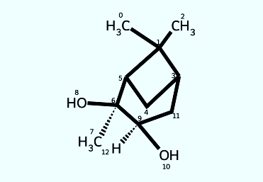 CC1(C)C2CC1[C@](C)(O)[C@H](O)C2